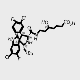 CC(C)(C)C[C@H]1N[C@@H](C(=O)NCC[C@@H](O)CCCC(=O)O)[C@H](c2ccc(F)c(Cl)c2)[C@@]12C(=O)Nc1cc(Cl)c(F)cc12